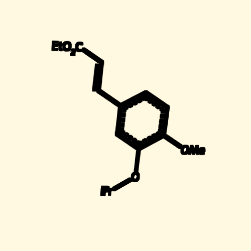 CCOC(=O)C=Cc1ccc(OC)c(OC(C)C)c1